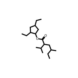 CCC(C)CC(C(=O)OC1CC(CC)CC1CC)C(C)C